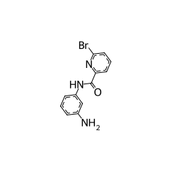 Nc1cccc(NC(=O)c2cccc(Br)n2)c1